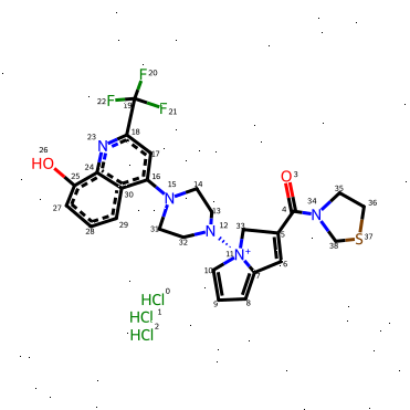 Cl.Cl.Cl.O=C(C1=CC2=CC=C[N@@+]2(N2CCN(c3cc(C(F)(F)F)nc4c(O)cccc34)CC2)C1)N1CCSC1